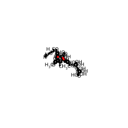 COc1ccc2c(S(=O)(=O)Oc3cc(C(=O)N(C)CCOCCN=[N+]=[N-])ccc3OC3O[C@H](C(=O)O)[C@@H](O)[C@H](O)[C@H]3O)cc3c(c2c1)[C@H](CCl)CN3C(=O)c1cc2cc(/C(C)=N/O[C@@H]3O[C@H](COC4OC(C(=O)O)[C@@H](O)[C@H](O)[C@H]4O)[C@H](O)C(O)[C@H]3O)ccc2[nH]1